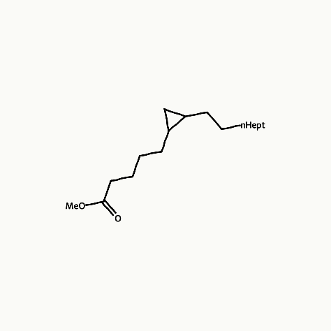 CCCCCCCCCC1CC1CCCCC(=O)OC